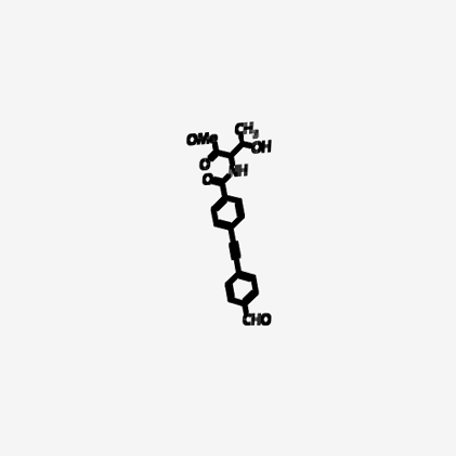 COC(=O)C(NC(=O)c1ccc(C#Cc2ccc(C=O)cc2)cc1)[C@@H](C)O